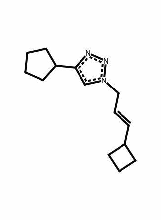 C(=C\C1CCC1)/Cn1cc(C2CCCC2)nn1